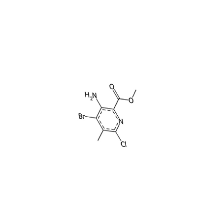 COC(=O)c1nc(Cl)c(C)c(Br)c1N